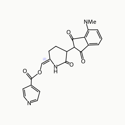 CNc1cccc2c1C(=O)C(C1CC/C(=C/OC(=O)c3ccncc3)NC1=O)C2=O